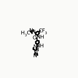 Cc1cn(-c2cc(NC(=O)c3ccc(Nc4nccc(-n5ccnc5)n4)cc3)cc(C(F)(F)F)c2)cn1